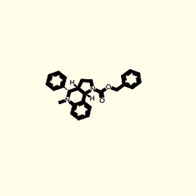 CN1c2ccccc2[C@@H]2[C@@H](CCN2C(=O)OCc2ccccc2)[C@H]1c1ccccc1